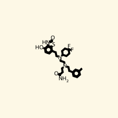 Cc1cccc(CCN(CCC(N)=O)CCN(CCc2ccc(O)c3[nH]c(=O)sc23)C2CCC(F)(F)CC2)c1